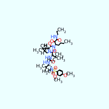 C=CCNC(=O)C(=O)C(CCCC)NC(=O)[C@@H]1[C@@H]2[C@H](CN1C(=O)[C@@H](NC(=O)N[C@H](CN(C)S(=O)(=O)c1ccc(OC)cc1OC)C(=C)C)C(C)(C)C)C2(C)C